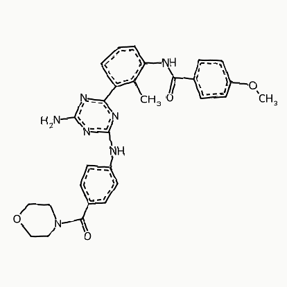 COc1ccc(C(=O)Nc2cccc(-c3nc(N)nc(Nc4ccc(C(=O)N5CCOCC5)cc4)n3)c2C)cc1